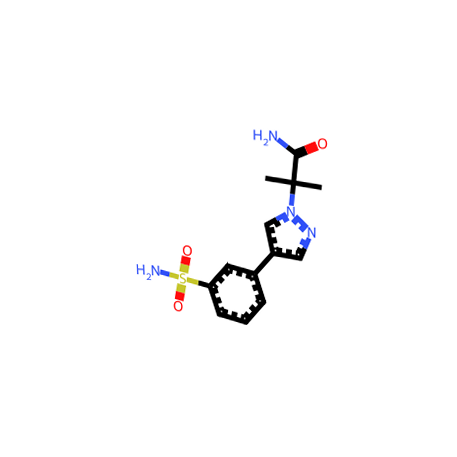 CC(C)(C(N)=O)n1cc(-c2[c]c(S(N)(=O)=O)ccc2)cn1